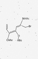 C=C/C(OC)=C(\C=C(/CBr)NC(C)=O)OCCCC